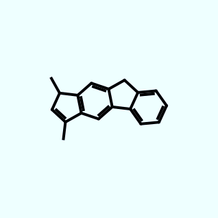 CC1=CC(C)c2cc3c(cc21)-c1ccccc1C3